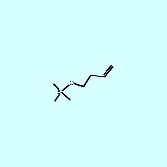 C=CCCO[Si](C)(C)C